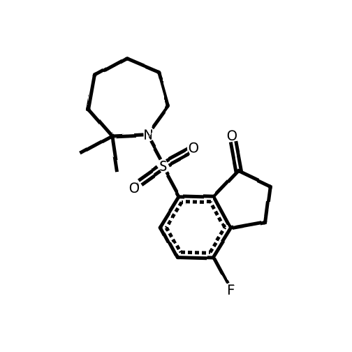 CC1(C)CCCCCN1S(=O)(=O)c1ccc(F)c2c1C(=O)CC2